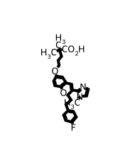 Cn1ccnc1C1=Cc2cc(OCCCC(C)(C)C(=O)O)ccc2OC1CCc1ccc(F)cc1